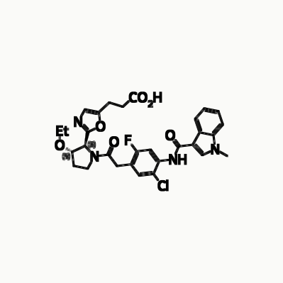 CCO[C@H]1CCN(C(=O)Cc2cc(Cl)c(NC(=O)c3cn(C)c4ccccc34)cc2F)[C@@H]1c1ncc(CCC(=O)O)o1